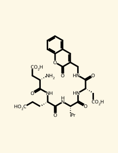 CC(C)[C@H](NC(=O)[C@H](CCC(=O)O)NC(=O)[C@@H](N)CC(=O)O)C(=O)N[C@@H](CC(=O)O)C(=O)NCc1cc2ccccc2oc1=O